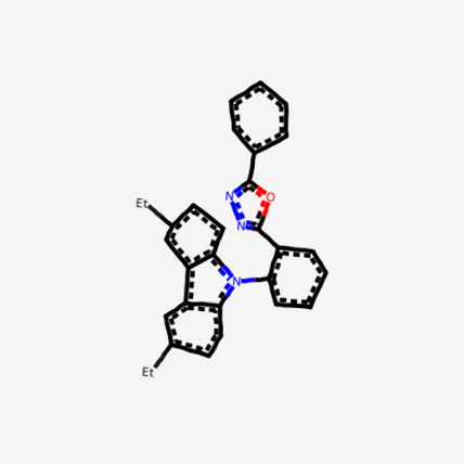 CCc1ccc2c(c1)c1cc(CC)ccc1n2-c1ccccc1-c1nnc(-c2ccccc2)o1